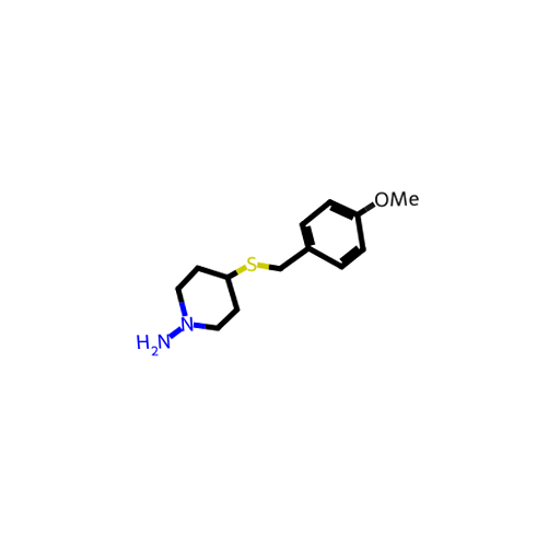 COc1ccc(CSC2CCN(N)CC2)cc1